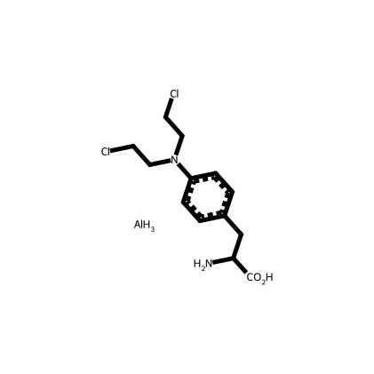 NC(Cc1ccc(N(CCCl)CCCl)cc1)C(=O)O.[AlH3]